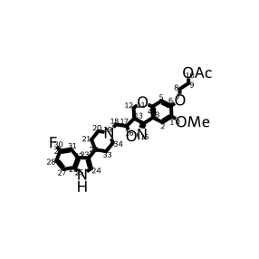 COc1cc2c(cc1OCCOC(C)=O)OCC1C2=NOC1CN1CCC(c2c[nH]c3ccc(F)cc23)CC1